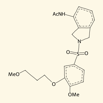 COCCCOc1cc(S(=O)(=O)N2Cc3cccc(NC(C)=O)c3C2)ccc1OC